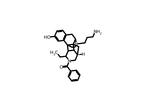 CCC1C2C3[C@@H](CN1C(=O)c1ccccc1)CC31C3Cc4ccc(O)cc4C21CCN3CCCN